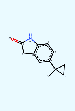 CC1(c2ccc3c(c2)CC(=O)N3)CC1